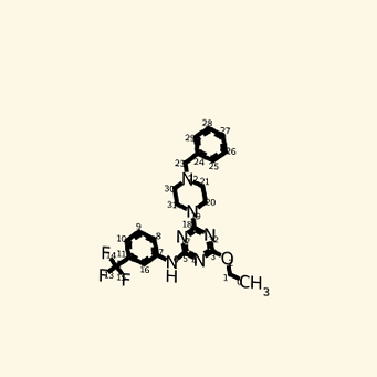 CCOc1nc(Nc2cccc(C(F)(F)F)c2)nc(N2CCN(Cc3ccccc3)CC2)n1